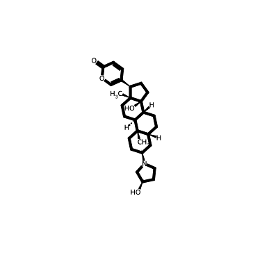 C[C@]12CC[C@H](N3CC[C@@H](O)C3)C[C@H]1CC[C@@H]1[C@@H]2CC[C@]2(C)[C@@H](c3ccc(=O)oc3)CC[C@]12O